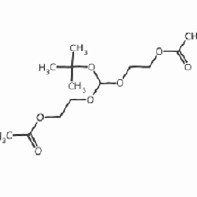 CC(=O)OCCOC(OCCOC(C)=O)OC(C)(C)C